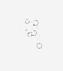 CCOC(=O)c1cnc2c3c(c(Nc4cccn(-c5cc(C)n(C)n5)c4=O)nn12)CCN3Cc1ccc(OC)cc1